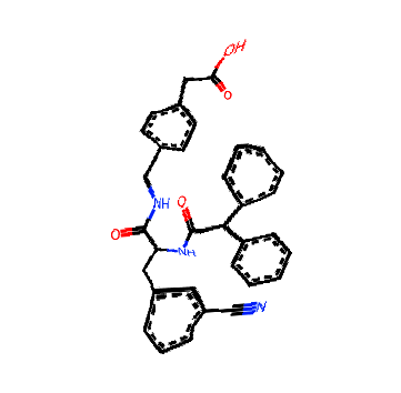 N#Cc1cccc(CC(NC(=O)C(c2ccccc2)c2ccccc2)C(=O)NCc2ccc(CC(=O)O)cc2)c1